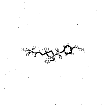 CCN(CC(C)(C)CCNS(C)(=O)=O)S(=O)(=O)c1ccc(OC)cc1